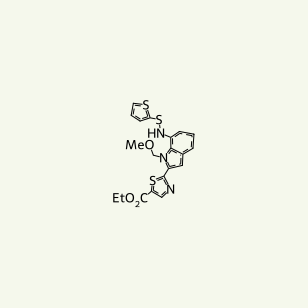 CCOC(=O)c1cnc(-c2cc3cccc(NSc4cccs4)c3n2COC)s1